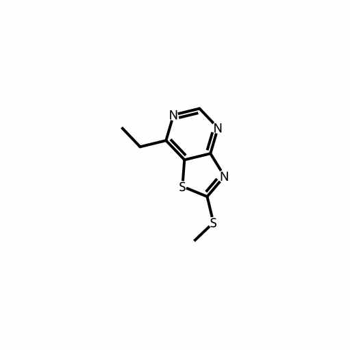 CCc1ncnc2nc(SC)sc12